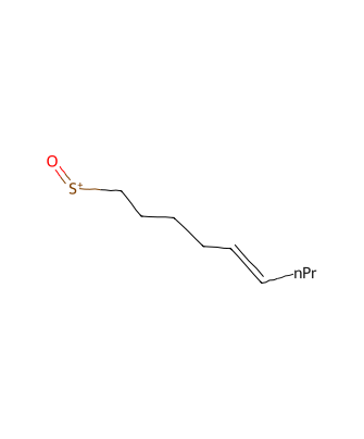 CCCC=CCCCC[S+]=O